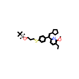 CCc1ccc(/C(=C\C2CCCC2)c2ccc(SCCCO[Si](C)(C)C(C)(C)C)cc2)nc1OC